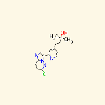 CC(C)(O)CCc1ccnc(-c2cnc3ccc(Cl)nn23)c1